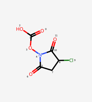 O=C(O)ON1C(=O)CC(Cl)C1=O